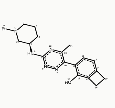 CCN1CCC[C@@H](Nc2nnc(-c3ccc4c(c3O)CC4)c(C)n2)C1